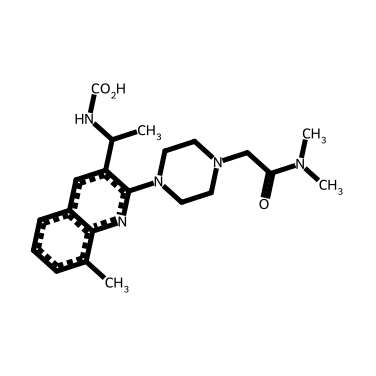 Cc1cccc2cc(C(C)NC(=O)O)c(N3CCN(CC(=O)N(C)C)CC3)nc12